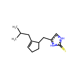 CC(C)CC1=CCCC1Cc1c[nH]c(=S)[nH]1